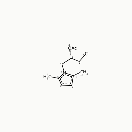 CC(=O)O[C@H](CCl)Cn1c(C)ccc1C